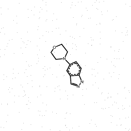 C1=N[N]c2ccc(N3CCOCC3)cc21